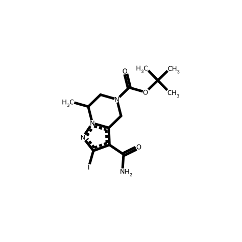 CC1CN(C(=O)OC(C)(C)C)Cc2c(C(N)=O)c(I)nn21